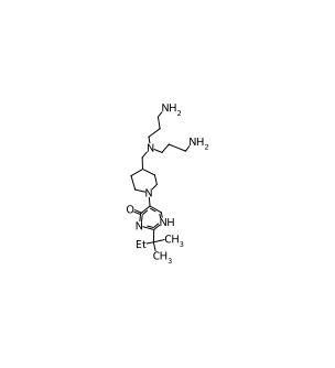 CCC(C)(C)c1nc(=O)c(N2CCC(CN(CCCN)CCCN)CC2)c[nH]1